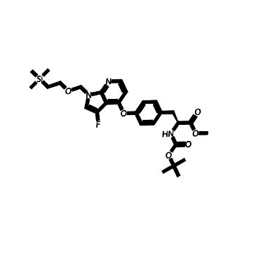 COC(=O)[C@H](Cc1ccc(Oc2ccnc3c2c(F)cn3COCC[Si](C)(C)C)cc1)NC(=O)OC(C)(C)C